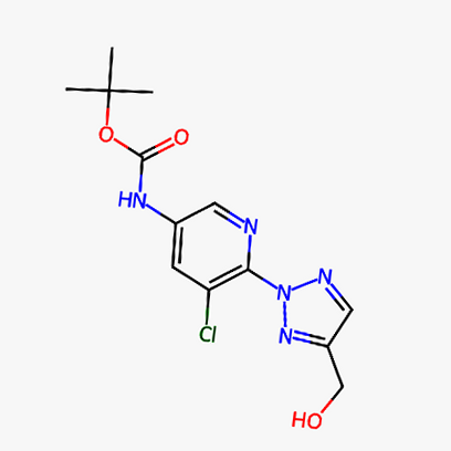 CC(C)(C)OC(=O)Nc1cnc(-n2ncc(CO)n2)c(Cl)c1